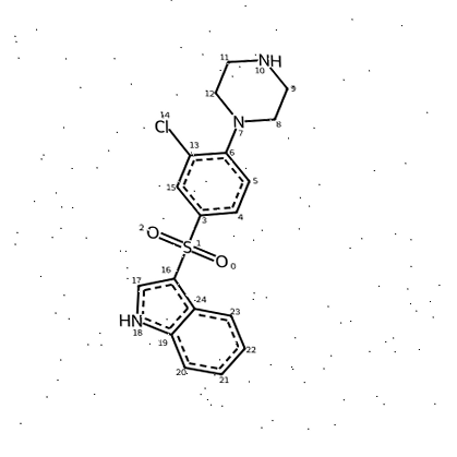 O=S(=O)(c1ccc(N2CCNCC2)c(Cl)c1)c1c[nH]c2ccccc12